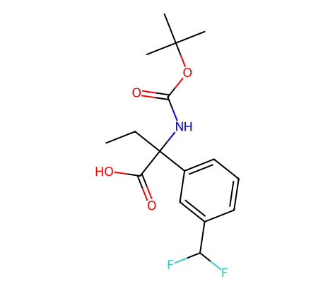 CCC(NC(=O)OC(C)(C)C)(C(=O)O)c1cccc(C(F)F)c1